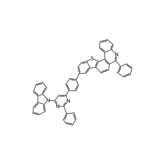 c1ccc(-c2nc(-c3ccc(-c4ccc5sc6c(ccc7c(-c8ccccc8)nc8ccccc8c76)c5c4)cc3)cc(-n3c4ccccc4c4ccccc43)n2)cc1